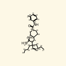 BC(=N)C(CC1CCN(C(=O)Nc2cccc(C)c2)CC1)C(C=O)(CCCC)CCCC